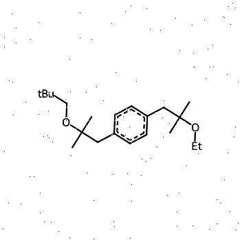 CCOC(C)(C)Cc1ccc(CC(C)(C)OCC(C)(C)C)cc1